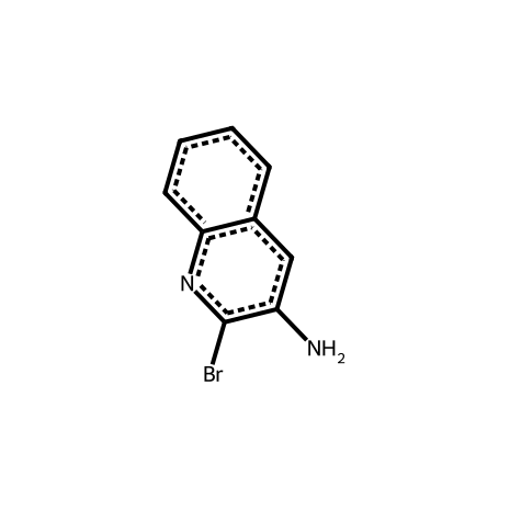 Nc1cc2ccccc2nc1Br